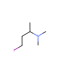 CC(CCI)N(C)C